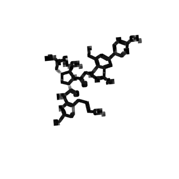 C/C=C/Cc1ccc(Br)nc1NC(=O)[C@@H]1C[C@H](CN(C)CCCC)[C@@H](C)N1C(=O)Cn1nc(C(C)=O)c2cc(-c3cnc(C)nc3)cc(CF)c21